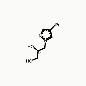 CC(C)c1cnn(C[C@H](O)CO)c1